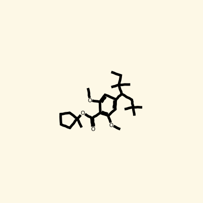 CCC(C)(C)C(CC(C)(C)C)c1cc(OC)c(C(=O)OC2(C)CCCC2)c(OC)c1